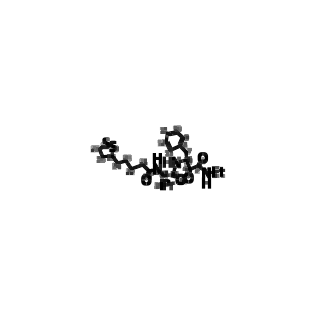 CCNC(=O)C(=O)[C@H](Cc1ccccc1)NC(=O)[C@@H](NC(=O)CCCCC1CCSS1)C(C)C